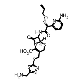 C=CCON=C(C(=O)NC1C(=O)N2C(C(=O)O)=C(CSc3nnc(CN)s3)CS[C@@H]12)c1cccc(N)n1